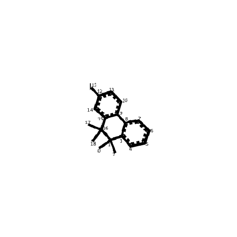 CC1(C)c2ccccc2-c2ccc(I)cc2C1(C)C